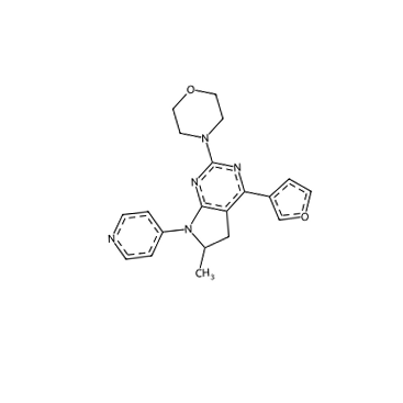 CC1Cc2c(-c3ccoc3)nc(N3CCOCC3)nc2N1c1ccncc1